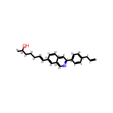 C=CCc1ccc(-c2cc3ccc(C=CCCCC(C)O)cc3cn2)cc1